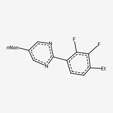 CCCCCCCCCc1cnc(-c2ccc(CC)c(F)c2F)nc1